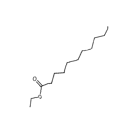 CCCCCCCCCCC(=O)OCC